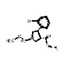 COBN1C[C@@H](C(=O)OC)[C@H](c2ccccc2Br)C1